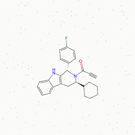 C#CC(=O)N1[C@@H](c2ccc(F)cc2)c2[nH]c3ccccc3c2C[C@@H]1C1CCCCC1